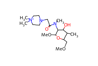 COCC1OC(OC)C(N(C)C(=O)CN2CC[N+](C)(C)CC2)C(O)C1C